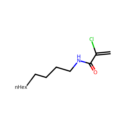 C=C(Cl)C(=O)NCCCCCCCCCC